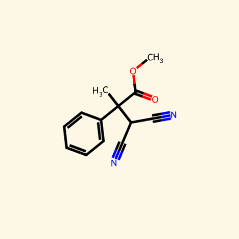 COC(=O)C(C)(c1ccccc1)C(C#N)C#N